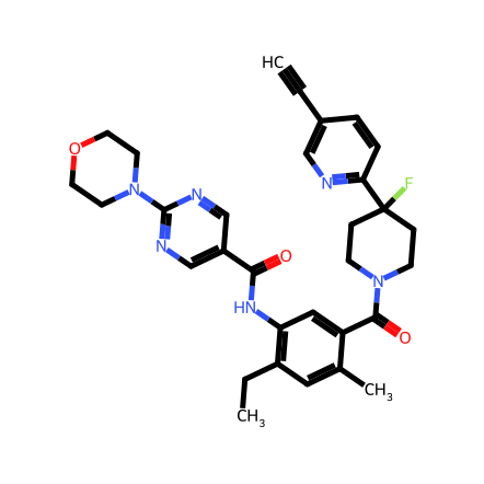 C#Cc1ccc(C2(F)CCN(C(=O)c3cc(NC(=O)c4cnc(N5CCOCC5)nc4)c(CC)cc3C)CC2)nc1